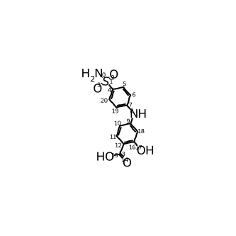 NS(=O)(=O)c1ccc(Nc2ccc(C(=O)O)c(O)c2)cc1